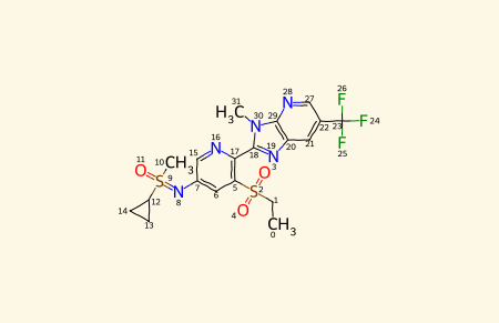 CCS(=O)(=O)c1cc(N=S(C)(=O)C2CC2)cnc1-c1nc2cc(C(F)(F)F)cnc2n1C